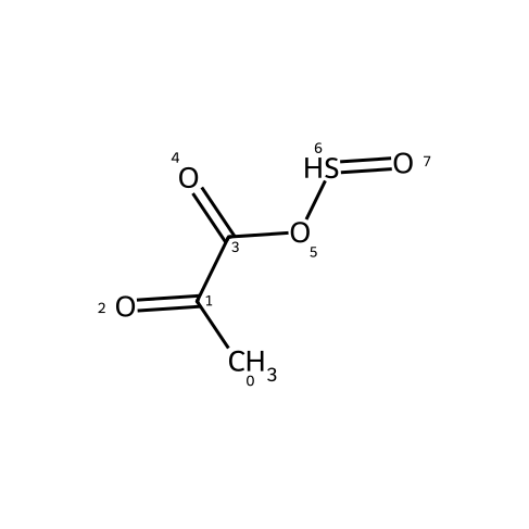 CC(=O)C(=O)O[SH]=O